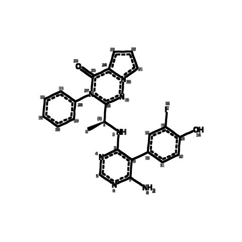 C[C@H](Nc1ncnc(N)c1-c1ccc(O)c(F)c1)c1nn2cccc2c(=O)n1-c1ccccc1